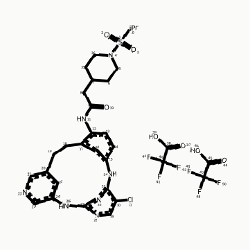 CC(C)S(=O)(=O)N1CCC(CC(=O)Nc2ccc3cc2CCc2cncc(c2)Nc2ncc(Cl)c(n2)N3)CC1.O=C(O)C(F)(F)F.O=C(O)C(F)(F)F